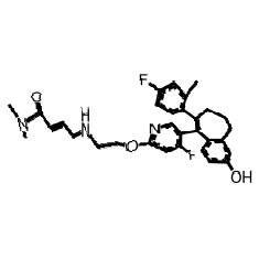 Cc1cc(F)ccc1C1=C(c2cnc(OCCNC/C=C/C(=O)N(C)C)cc2F)c2ccc(O)cc2CCC1